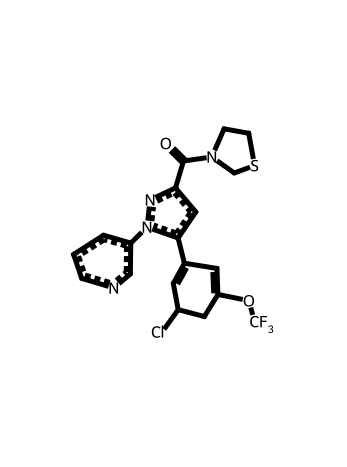 O=C(c1cc(C2=CC(Cl)CC(OC(F)(F)F)=C2)n(-c2cccnc2)n1)N1CCSC1